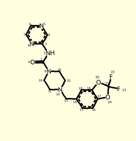 O=C(Nc1cnccn1)N1CCN(Cc2ccc3c(c2)OC(F)(F)O3)CC1